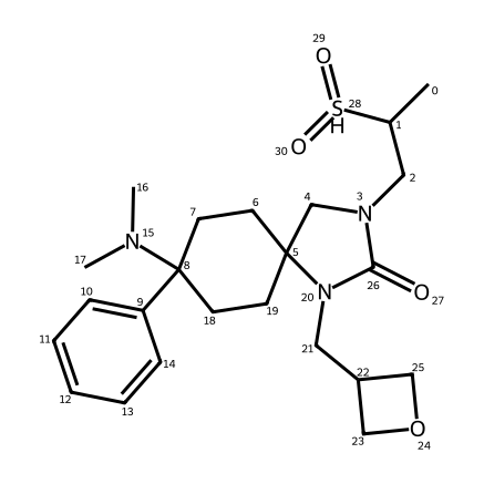 CC(CN1CC2(CCC(c3ccccc3)(N(C)C)CC2)N(CC2COC2)C1=O)[SH](=O)=O